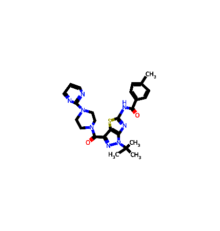 Cc1ccc(C(=O)Nc2nc3c(s2)c(C(=O)N2CCN(c4ncccn4)CC2)nn3C(C)(C)C)cc1